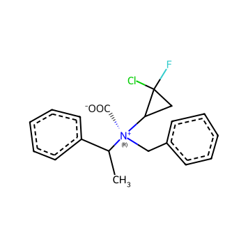 CC(c1ccccc1)[N@@+](Cc1ccccc1)(C(=O)[O-])C1CC1(F)Cl